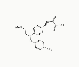 CNCCC(Oc1ccc(C(F)(F)F)cc1)c1ccc(F)cc1.O=C(O)C(=O)O